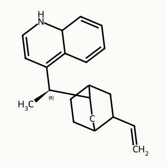 C=CC1CC2CCC1CC2[C@@H](C)C1=C2C=CC=CC2NC=C1